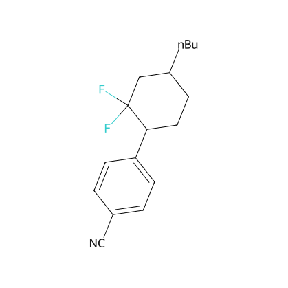 CCCCC1CCC(c2ccc(C#N)cc2)C(F)(F)C1